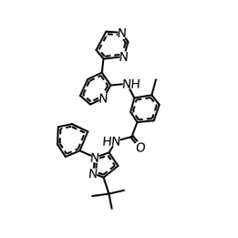 Cc1ccc(C(=O)Nc2cc(C(C)(C)C)nn2-c2ccccc2)cc1Nc1ncccc1-c1ccncn1